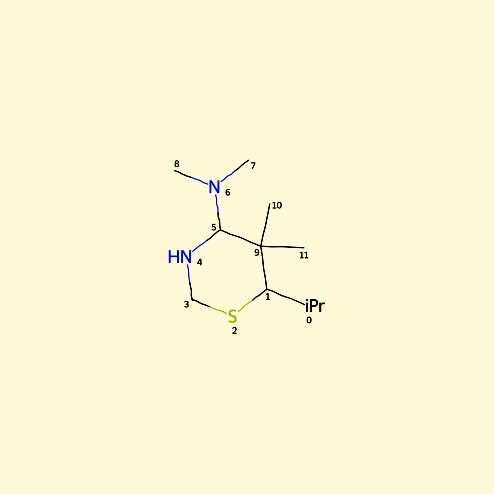 CC(C)C1SCNC(N(C)C)C1(C)C